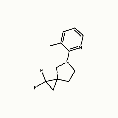 Cc1cccnc1N1CCC2(C1)CC2(F)F